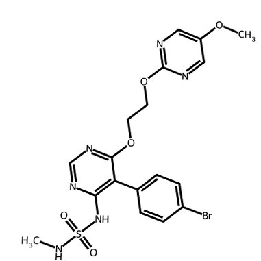 CNS(=O)(=O)Nc1ncnc(OCCOc2ncc(OC)cn2)c1-c1ccc(Br)cc1